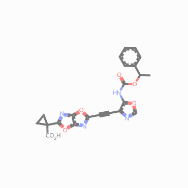 CC(OC(=O)Nc1ocnc1C#Cc1nc2oc(C3(C(=O)O)CC3)nc2o1)c1ccccc1